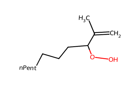 C=C(C)C(CCCCCCCC)OO